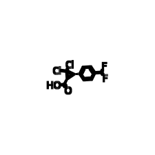 O=C(O)[C@@H]1[C@@H](c2ccc(C(F)F)cc2)C1(Cl)Cl